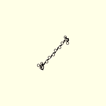 C[C@@]1(C=O)CCCN1C(=O)CCOCCOCCOCCOCCOCCOCCN1C(=O)C=CC1=O